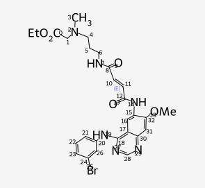 CCOC(=O)CN(C)CCCNC(=O)/C=C/C(=O)Nc1cc2c(Nc3cccc(Br)c3)ncnc2cc1OC